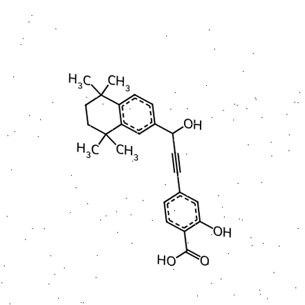 CC1(C)CCC(C)(C)c2cc(C(O)C#Cc3ccc(C(=O)O)c(O)c3)ccc21